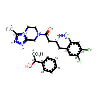 N[C@@H](CC(=O)N1CCn2c(nnc2C(F)(F)F)C1)Cc1cc(F)c(F)cc1F.O=C(O)C(O)c1ccccc1